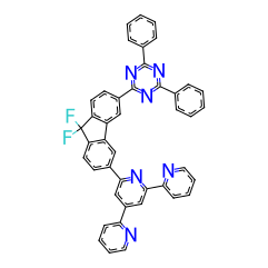 FC1(F)c2ccc(-c3cc(-c4ccccn4)cc(-c4ccccn4)n3)cc2-c2cc(-c3nc(-c4ccccc4)nc(-c4ccccc4)n3)ccc21